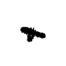 O=C1CCCN1CCCn1c(-c2ccc(-c3ccncc3)cc2)nc2cc3[nH]c(=O)c(Cc4ccccc4)nc3cc21